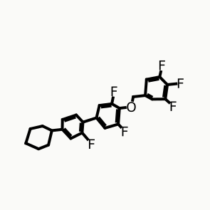 Fc1cc(C2CCCCC2)ccc1-c1cc(F)c(OCc2cc(F)c(F)c(F)c2)c(F)c1